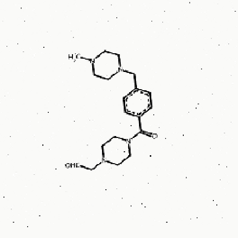 CN1CCN(Cc2ccc(C(=O)N3CCN(C[C]=O)CC3)cc2)CC1